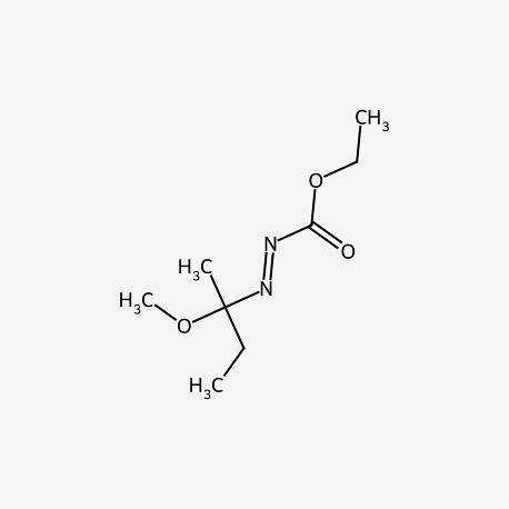 CCOC(=O)N=NC(C)(CC)OC